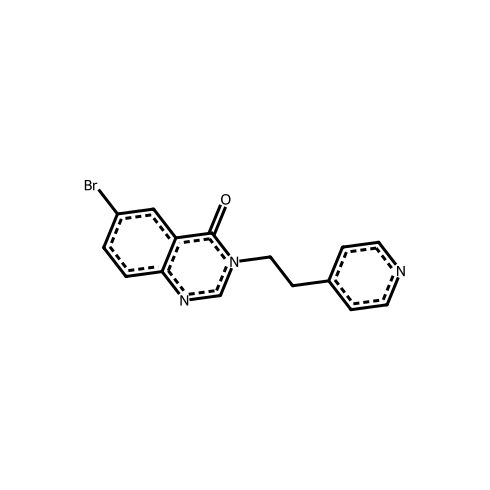 O=c1c2cc(Br)ccc2ncn1CCc1ccncc1